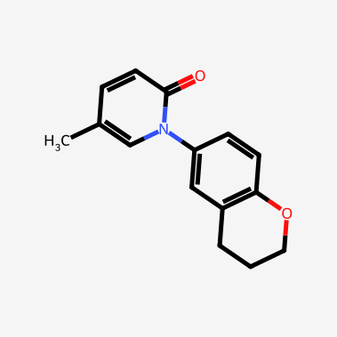 Cc1ccc(=O)n(-c2ccc3c(c2)CCCO3)c1